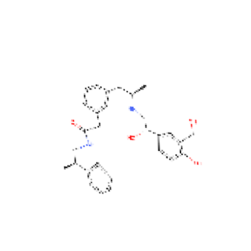 C[C@H](Cc1cccc(CC(=O)NC[C@H](C)c2ccccc2)c1)NC[C@@H](O)c1ccc(O)c(CO)c1